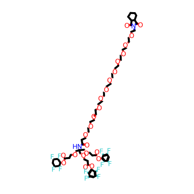 O=C(CCOCCOCCOCCOCCOCCOCCOCCOCCOCCOCCOCCOCCN1C(=O)C2CCCCC2C1=O)NC(COCCC(=O)Oc1c(F)c(F)cc(F)c1F)(COCCC(=O)Oc1c(F)c(F)cc(F)c1F)COCCC(=O)OC1C(F)C(F)CC(F)C1F